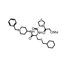 COCC(=O)N1CSC[C@H]1C(=O)N[C@@H](CSCC1CCCCC1)C(=O)NC1CCN(Cc2ccccc2)CC1